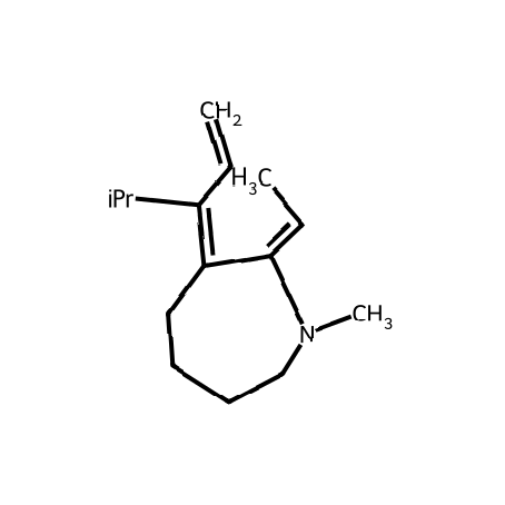 C=C/C(=C1/CCCCN(C)/C1=C/C)C(C)C